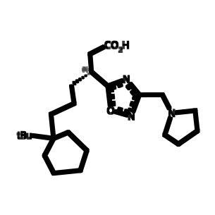 CC(C)(C)C1(CCC[C@H](CC(=O)O)c2nc(CN3CCCC3)no2)CCCCC1